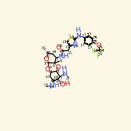 CNC1C2OC3(C)C(NC(=O)Cc4csc(Nc5ccc(OC(F)(F)F)cc5)n4)C[C@@H](C)OC3OC2C[C@H](NC)[C@@H]1O